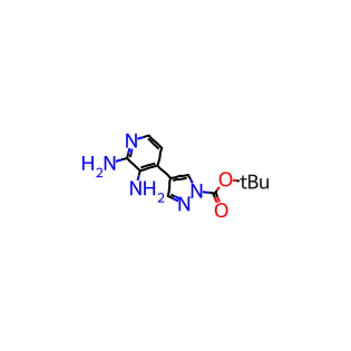 CC(C)(C)OC(=O)n1cc(-c2ccnc(N)c2N)cn1